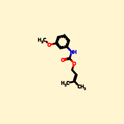 COc1c[c]cc(NC(=O)OCC=C(C)C)c1